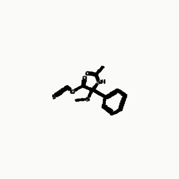 CSC(NC(C)=O)(C(=O)OC=S)c1ccccc1